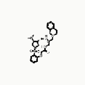 CN(C)C1CN(S(=O)(=O)c2ccccc2OCC(=O)NC[C@@H](O)CN2CCc3ccccc3C2)CC1O